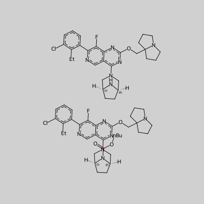 CCCCOC(=O)N1[C@@H]2CC[C@H]1CN(c1nc(OCC34CCCN3CCC4)nc3c(F)c(-c4cccc(Cl)c4CC)ncc13)C2.CCc1c(Cl)cccc1-c1ncc2c(N3C[C@H]4CC[C@@H](C3)N4)nc(OCC34CCCN3CCC4)nc2c1F